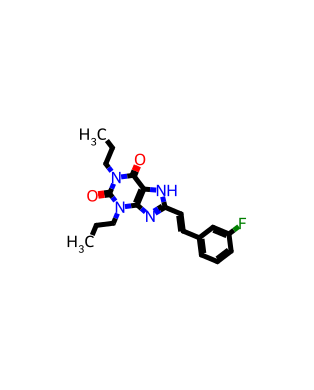 CCCn1c(=O)c2[nH]c(C=Cc3cccc(F)c3)nc2n(CCC)c1=O